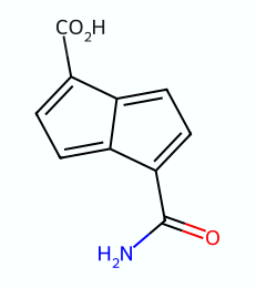 NC(=O)C1=CC=C2C(C(=O)O)=CC=C12